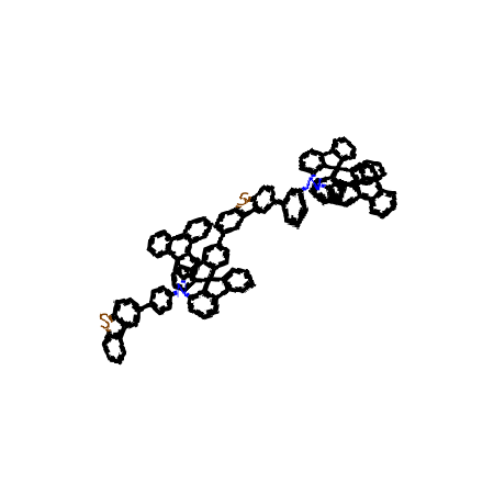 c1cc(-c2ccc3sc4ccc(-c5ccc6c(c5)-c5ccccc5C65c6ccccc6-c6cccc(N(c7ccc(-c8ccc9sc%10ccccc%10c9c8)cc7)c7ccc8c9ccccc9c9ccccc9c8c7)c65)cc4c3c2)cc(N(c2ccc3c4ccccc4c4ccccc4c3c2)c2cccc3c2C2(c4ccccc4-c4ccccc42)c2ccccc2-3)c1